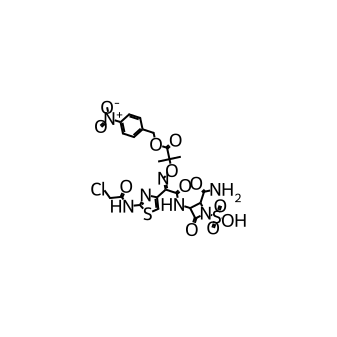 CC(C)(O/N=C(\C(=O)NC1C(=O)N(S(=O)(=O)O)C1C(N)=O)c1csc(NC(=O)CCl)n1)C(=O)OCc1ccc([N+](=O)[O-])cc1